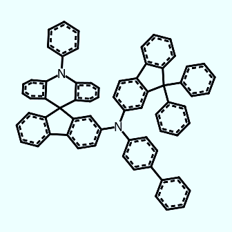 c1ccc(-c2ccc(N(c3ccc4c(c3)C(c3ccccc3)(c3ccccc3)c3ccccc3-4)c3ccc4c(c3)C3(c5ccccc5-4)c4ccccc4N(c4ccccc4)c4ccccc43)cc2)cc1